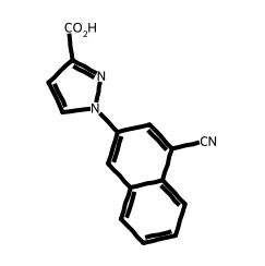 N#Cc1cc(-n2ccc(C(=O)O)n2)cc2ccccc12